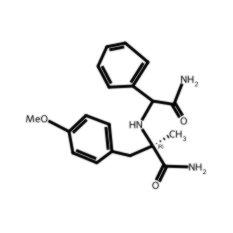 COc1ccc(C[C@@](C)(NC(C(N)=O)c2ccccc2)C(N)=O)cc1